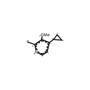 COc1c(C2CC2)ccnc1C